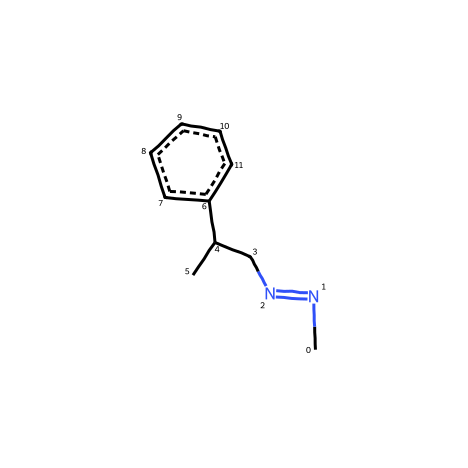 CN=NCC(C)c1ccccc1